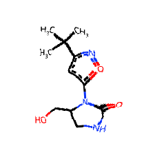 CC(C)(C)c1cc(N2C(=O)NCC2CO)on1